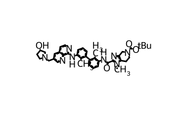 Cc1c(NC(=O)c2nc3c(n2C)CCN(C(=O)OC(C)(C)C)C3)cccc1-c1cccc(Nc2nccc3cc(CN4CC[C@@H](O)C4)cnc23)c1C